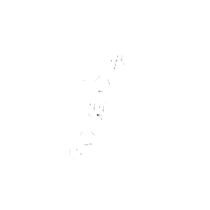 Nc1ccc(-c2cn(Cc3c(F)cc(-c4nnc(C(F)F)o4)cc3F)nn2)cc1